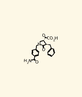 NC(=O)c1ccc(CN2C[C@H](C(=O)C(=O)O)[C@@H](Cc3ccccc3)C2=O)cc1